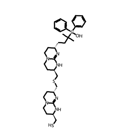 CC(C)(CC[C@H]1CCN2CC[C@H](CSC[C@H]3CCN4CC[C@H](CS)NC4=N3)NC2=N1)[Si](O)(c1ccccc1)c1ccccc1